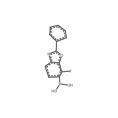 OB(O)c1ccc2nc(-c3ccccc3)oc2c1F